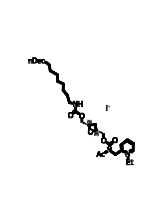 CCCCCCCCCCCCCCCCCCNC(=O)OC[C@@H]1C[C@H](COC(=O)N(Cc2cccc[n+]2CC)C(C)=O)O1.[I-]